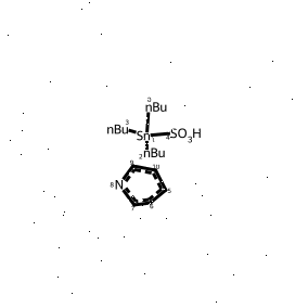 CCC[CH2][Sn]([CH2]CCC)([CH2]CCC)[S](=O)(=O)O.c1ccncc1